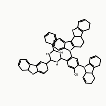 N#Cc1cc(C2NC(C3C=CC=CC3)NC(C3C=C4C(=CC3)OC3CC=CC=C43)N2)c(-n2c3c(c4ccccc42)C2SC4=C(CCC=C4)C2CC3)cc1N1C2=C(CCC=C2)C2CCC=CC21